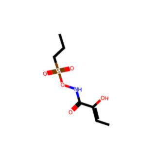 CC=C(O)C(=O)NOS(=O)(=O)CCC